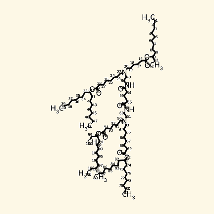 CCCCCCCCCCC(CC)OC(=O)CCCCCN(CCCCCCCC(=O)OC(CCCCCCCC)CCCCCCCC)CCNC(=O)CCCC(=O)NCCN(CCCCCCCC(=O)OC(CCCCCCCC)CCCCCCCC)CCCCCC(=O)OC(CC)CCCCCCCCCC